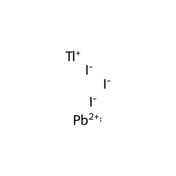 [I-].[I-].[I-].[Pb+2].[Tl+]